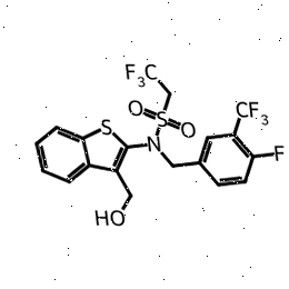 O=S(=O)(CC(F)(F)F)N(Cc1ccc(F)c(C(F)(F)F)c1)c1sc2ccccc2c1CO